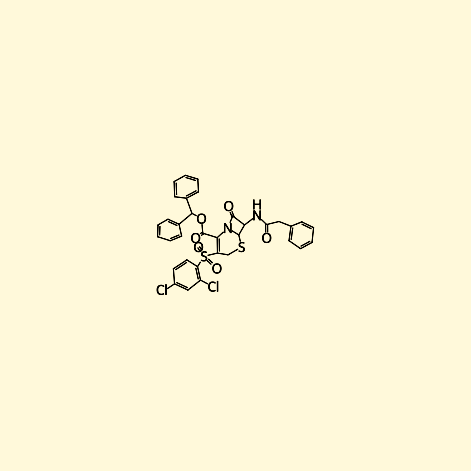 O=C(Cc1ccccc1)NC1C(=O)N2C(C(=O)OC(c3ccccc3)c3ccccc3)=C(S(=O)(=O)c3ccc(Cl)cc3Cl)CSC12